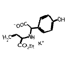 C=CC(NC(C(=O)[O-])c1ccc(O)cc1)C(=O)OCC.[K+]